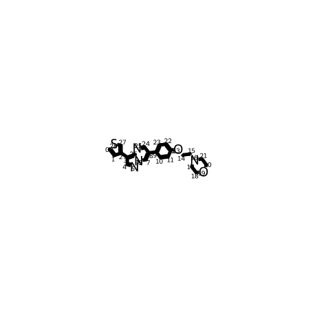 c1cc(-c2cnn3cc(-c4ccc(OCCN5CCOCC5)cc4)cnc23)cs1